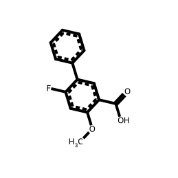 COc1cc(F)c(-c2ccccc2)cc1C(=O)O